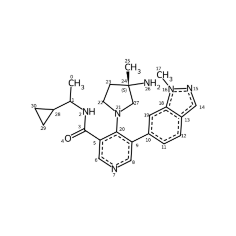 CC(NC(=O)c1cncc(-c2ccc3cnn(C)c3c2)c1N1CC[C@](C)(N)C1)C1CC1